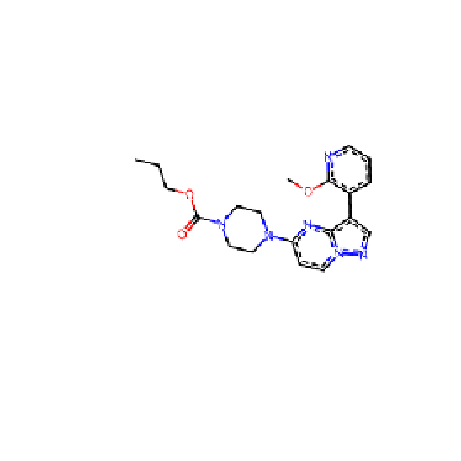 CCCOC(=O)N1CCN(c2ccn3ncc(-c4cccnc4OC)c3n2)CC1